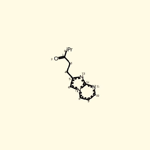 CC(C)C(=O)CCc1cn2cccnc2n1